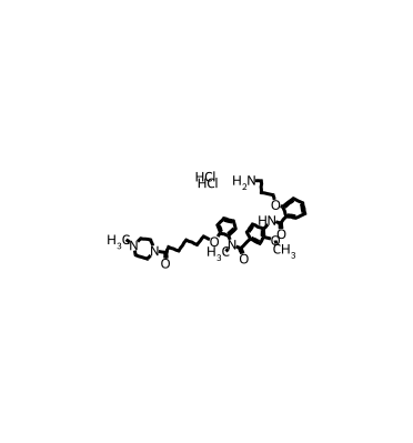 COc1cc(C(=O)N(C)c2ccccc2OCCCCCC(=O)N2CCN(C)CC2)ccc1NC(=O)c1ccccc1OCCCN.Cl.Cl